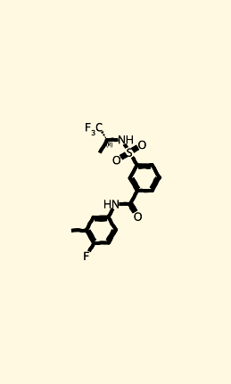 Cc1cc(NC(=O)c2cccc(S(=O)(=O)N[C@H](C)C(F)(F)F)c2)ccc1F